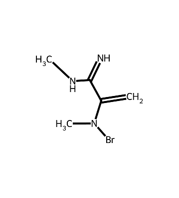 C=C(C(=N)NC)N(C)Br